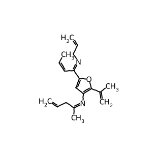 C=CC/N=C(\C=C/C)c1cc(/N=C(/C)CC=C)c(C(=C)C)o1